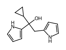 OC(Cc1ccc[nH]1)(c1ccc[nH]1)C1CC1